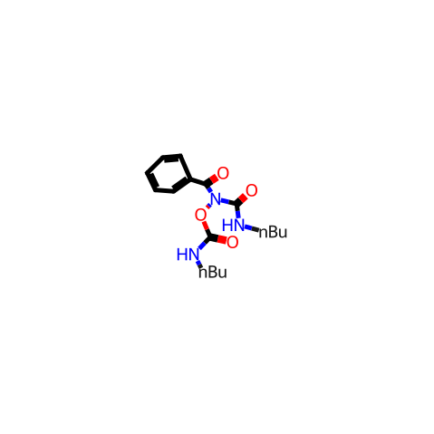 CCCCNC(=O)ON(C(=O)NCCCC)C(=O)c1ccccc1